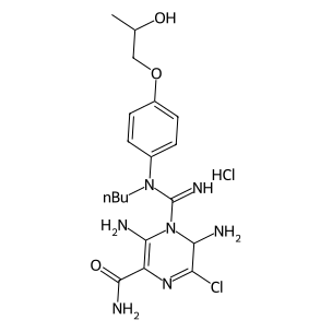 CCCCN(C(=N)N1C(N)=C(C(N)=O)N=C(Cl)C1N)c1ccc(OCC(C)O)cc1.Cl